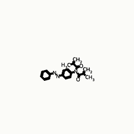 C=C(C)C(=O)N(C(=O)C(=C)C)c1ccc(N=Nc2ccccc2)cc1